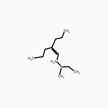 CCCC(=C[SiH2]N(C)CC)CCC